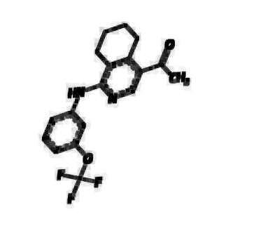 CC(=O)c1cnc(Nc2cccc(OC(F)(F)F)c2)c2c1CCCC2